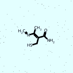 C=N/C(C)=C(\CS)C(N)=O